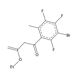 C=C(CC(=O)c1c(C)c(F)c(F)c(Br)c1F)OCC